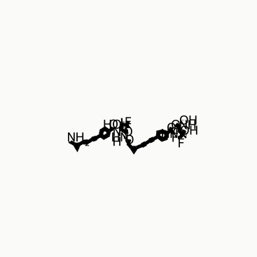 C[C@@](O)(C(F)F)[C@H](NC(=O)c1ccc(C#CC#CC2CC2CONC(=O)[C@@H](NC(=O)c2ccc(C#CC#CC3CC3CN)cc2)[C@](C)(O)C(F)F)cc1)C(=O)NO